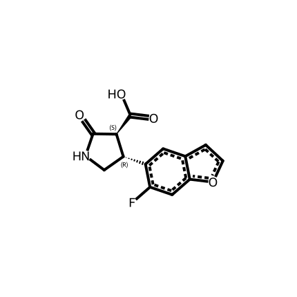 O=C(O)[C@@H]1C(=O)NC[C@H]1c1cc2ccoc2cc1F